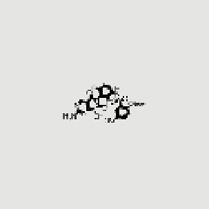 COc1ccc(Br)cc1S(=O)(=O)Nc1ccc(F)c(-n2c(=O)c3cnc(N)nc3n(C)c2=O)c1F